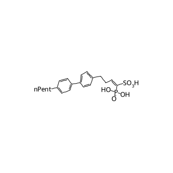 CCCCCc1ccc(-c2ccc(CC/C=C(\P(=O)(O)O)S(=O)(=O)O)cc2)cc1